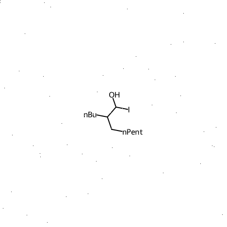 CCCCCCC(CCCC)C(O)I